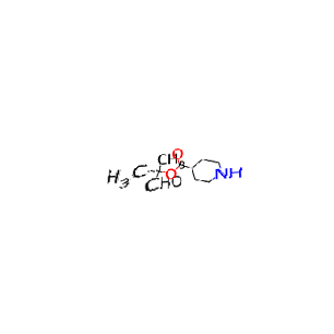 CC(C)(C=O)OC(=O)C1CCNCC1